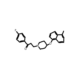 Cc1cccc2c(OC3CCN(CCC(=O)c4ccc(F)cc4)CC3)cccc12